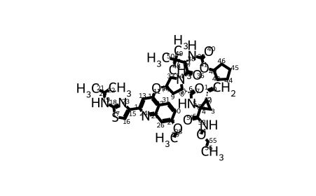 C=C[C@@H]1C[C@]1(NC(=O)[C@@H]1C[C@@H](Oc2cc(-c3csc(NC(C)C)n3)nc3cc(OC)ccc23)CN1C(=O)[C@@H](NC(=O)OC1CCCC1)C(C)(C)C)C(=O)NOCC